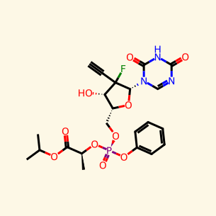 C#CC1(F)[C@@H](O)[C@@H](CO[P@](=O)(Oc2ccccc2)O[C@@H](C)C(=O)OC(C)C)O[C@H]1n1cnc(=O)[nH]c1=O